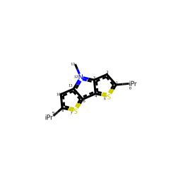 CC(C)c1cc2c(s1)c1sc(C(C)C)cc1n2C